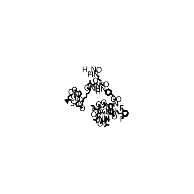 CC[C@H](C)[C@@H]([C@@H](CC(=O)N1C[C@@H](N(C)C(=O)OCc2ccc(NC(=O)[C@H](CCCNC(N)=O)NC(=O)[C@@H](NC(=O)CCCCCN3C(=O)CC(SCC4(CC(=O)ON5C(=O)CCC5=O)CC4)C3=O)C(C)C)cc2)C[C@H]1[C@H](OC)[C@@H](C)C(=O)NCCc1c(F)cccc1F)OC)N(C)C(=O)[C@@H](NC(=O)[C@H](C(C)C)N(C)C)C(C)C